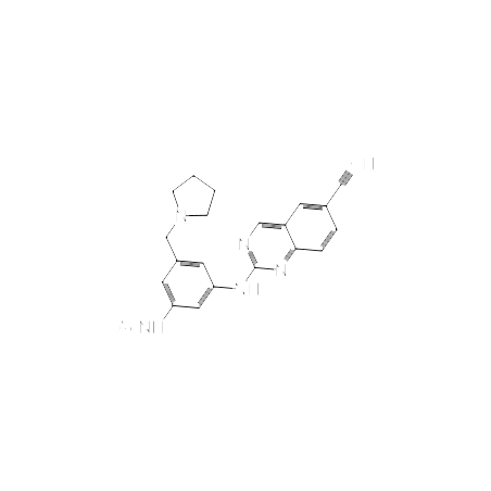 C#Cc1ccc2nc(Nc3cc(CN4CCCC4)cc(NC(C)=O)c3)ncc2c1